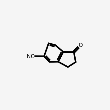 N#Cc1ccc2c(c1)CCC2=O